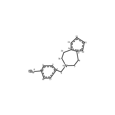 CC(C)(C)c1ccc(CN2CCc3ccccc3CC2)cc1